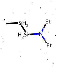 CCN(CC)[SiH2][SiH2]C